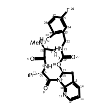 CN[C@@H](C)C(=O)N[C@H](C(=O)N1c2ncccc2C[C@@H]1OC(=O)NCc1cc(F)ccc1C)C(C)C